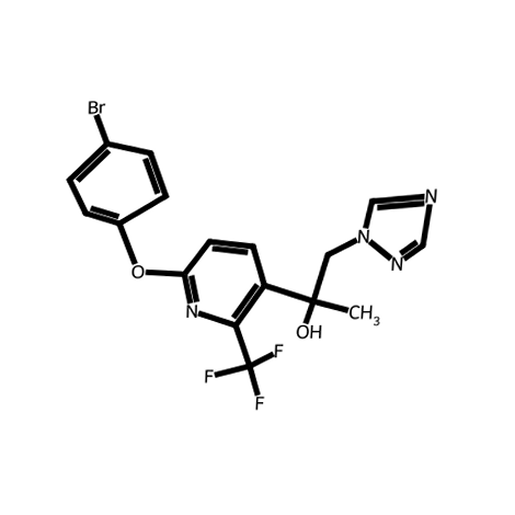 CC(O)(Cn1cncn1)c1ccc(Oc2ccc(Br)cc2)nc1C(F)(F)F